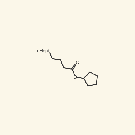 CCCCCCCCCCC(=O)OC1CCCC1